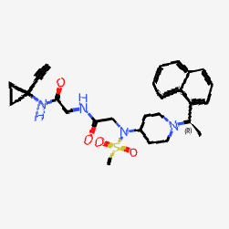 C#CC1(NC(=O)CNC(=O)CN(C2CCN([C@H](C)c3cccc4ccccc34)CC2)S(C)(=O)=O)CC1